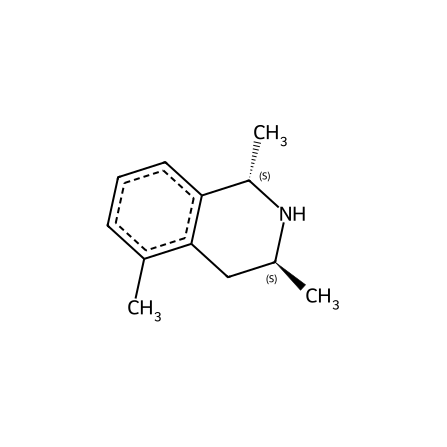 Cc1cccc2c1C[C@H](C)N[C@H]2C